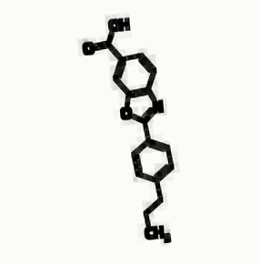 CCCc1ccc(-c2nc3ccc(C(=O)O)cc3o2)cc1